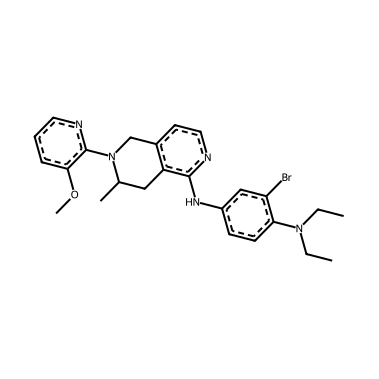 CCN(CC)c1ccc(Nc2nccc3c2CC(C)N(c2ncccc2OC)C3)cc1Br